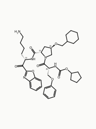 NCCCC[C@H](NC(=O)[C@@H]1C[C@@H](OCC2CCCCC2)CN1C(=O)[C@@H](COc1ccccc1)NC(=O)OC1CCCC1)C(=O)c1nc2ccccc2o1